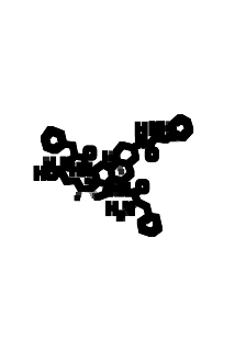 C[C@H](CCCO)[C@H]1CC[C@H]2C3[C@H](NC(=O)[C@@H](N)Cc4ccccc4)CC4C[C@H](NC(=O)[C@@H](N)Cc5ccccc5)CC[C@]4(C)[C@H]3C[C@H](NC(=O)[C@@H](N)Cc3ccccc3)C12C